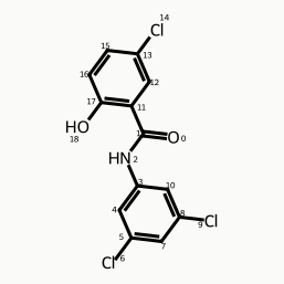 O=C(Nc1cc(Cl)cc(Cl)c1)c1cc(Cl)ccc1O